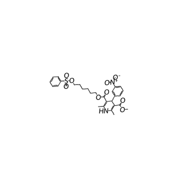 COC(=O)C1=C(C)NC(C)=C(C(=O)OCCCCCCOS(=O)(=O)c2ccccc2)C1c1cccc([N+](=O)[O-])c1